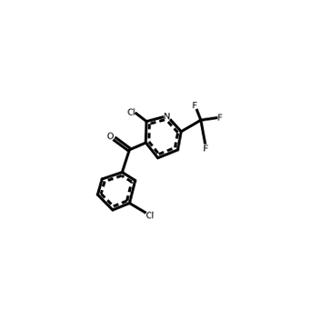 O=C(c1cccc(Cl)c1)c1ccc(C(F)(F)F)nc1Cl